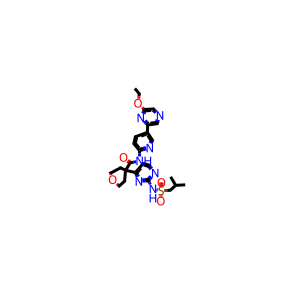 CCOc1cncc(-c2ccc(NC(=O)C3(c4ccnc(NS(=O)(=O)CC(C)C)n4)CCOCC3)nc2)n1